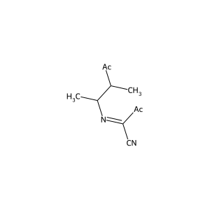 CC(=O)/C(C#N)=N\C(C)C(C)C(C)=O